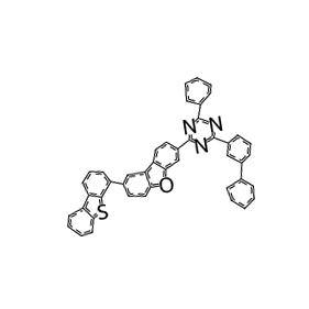 c1ccc(-c2cccc(-c3nc(-c4ccccc4)nc(-c4ccc5c(c4)oc4ccc(-c6cccc7c6sc6ccccc67)cc45)n3)c2)cc1